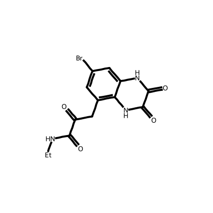 CCNC(=O)C(=O)Cc1cc(Br)cc2[nH]c(=O)c(=O)[nH]c12